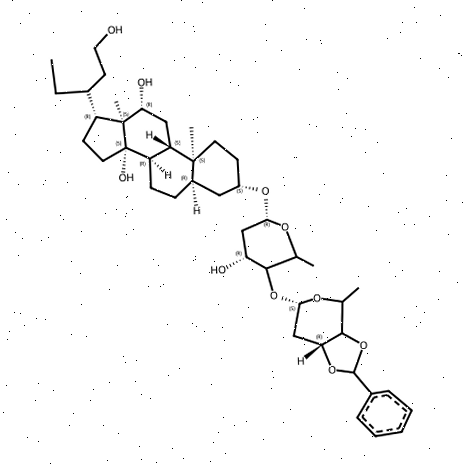 CCC(CCO)[C@H]1CC[C@]2(O)[C@@H]3CC[C@@H]4C[C@@H](O[C@H]5C[C@@H](O)C(O[C@H]6C[C@H]7OC(c8ccccc8)OC7C(C)O6)C(C)O5)CC[C@]4(C)[C@H]3C[C@@H](O)[C@]12C